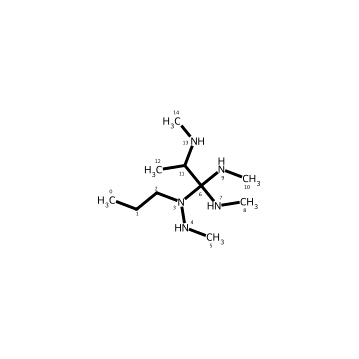 CCCN(NC)C(NC)(NC)C(C)NC